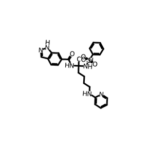 O=C(NC(CCCCNc1ccccn1)(NS(=O)(=O)c1ccccc1)C(=O)O)c1ccc2cn[nH]c2c1